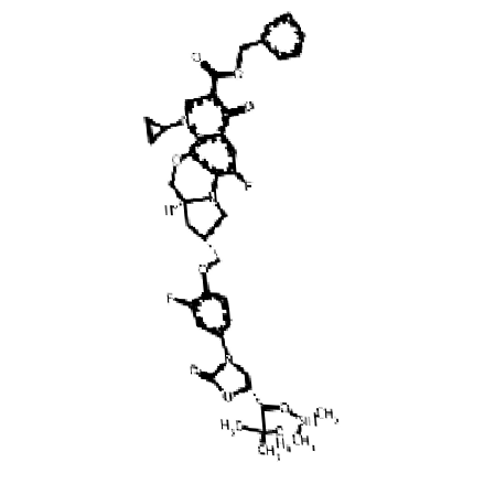 C[SiH](C)OC([C@H]1CN(c2ccc(OC[C@@H]3C[C@H]4COc5c(c(F)cc6c(=O)c(C(=O)OCc7ccccc7)cn(C7CC7)c56)N4C3)c(F)c2)C(=O)O1)C(C)(C)C